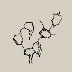 Cc1cc(-c2cc3c(C4=CN(CC5CCCN5C)CC=C4)c[nH]c3nn2)cc(C)c1N1CCN(C)CC1